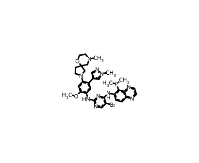 COc1cc(N2CCC3(CN(C)CCO3)C2)c(-c2cnn(C)c2)cc1Nc1ncc(Br)c(Nc2ccc3nccnc3c2P(C)C)n1